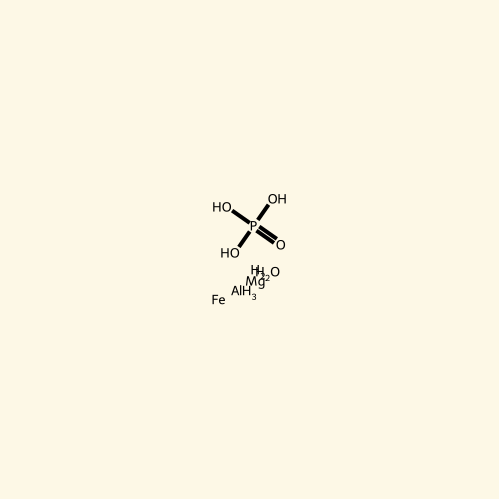 O.O=P(O)(O)O.[AlH3].[Fe].[MgH2]